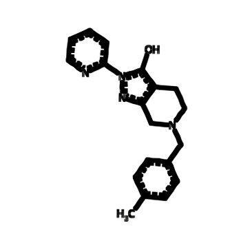 Cc1ccc(CN2CCc3c(nn(-c4ccccn4)c3O)C2)cc1